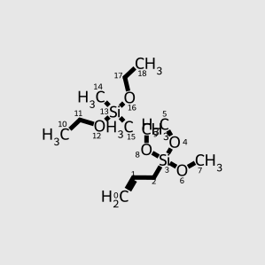 C=CC[Si](OC)(OC)OC.CCO[Si](C)(C)OCC